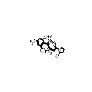 Cc1cc(C(F)(F)F)cc(O)c1-c1ccc(N2CCCC2=O)nn1